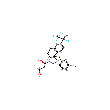 CC(F)(c1ccc2c(c1)CCC1N(C(=O)CC(=O)O)CCC21Cc1cccc(F)c1)C(F)(F)F